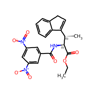 CCOC(=O)[C@@H](NC(=O)c1cc([N+](=O)[O-])cc([N+](=O)[O-])c1)[C@@H](C)C1=CCc2ccccc21